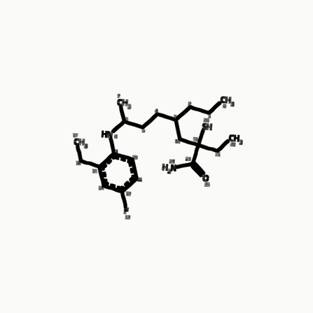 CCCC(CCC(C)Nc1ccc(F)cc1CC)CC(S)(CC)C(N)=O